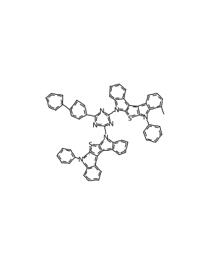 Cc1cccc2c3c4c5ccccc5n(-c5nc(-c6ccc(-c7ccccc7)cc6)nc(-n6c7ccccc7c7c8c9ccccc9n(-c9ccccc9)c8sc76)n5)c4sc3n(-c3ccccc3)c12